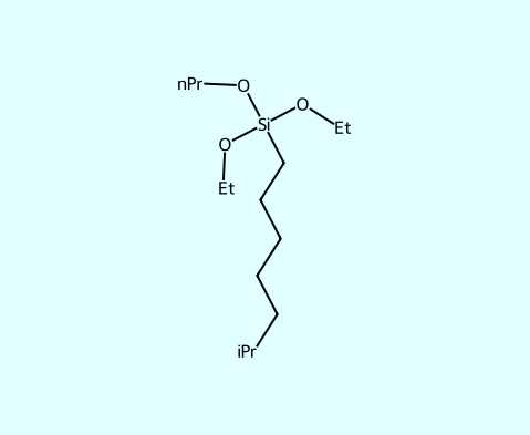 CCCO[Si](CCCCCC(C)C)(OCC)OCC